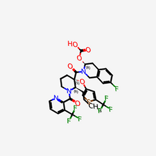 CCC[C@H]1N(C(=O)c2ncccc2C(F)(F)F)CCC[C@@]1(Oc1csc(C(F)(F)F)c1)C(=O)N1Cc2cc(F)ccc2C[C@H]1OC(=O)O